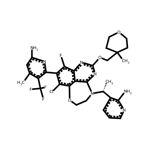 Cc1cc(N)nc(-c2c(Cl)c3c4c(nc(OCC5(C)CCOCC5)nc4c2F)N([C@H](C)c2cccnc2N)CCO3)c1C(F)(F)F